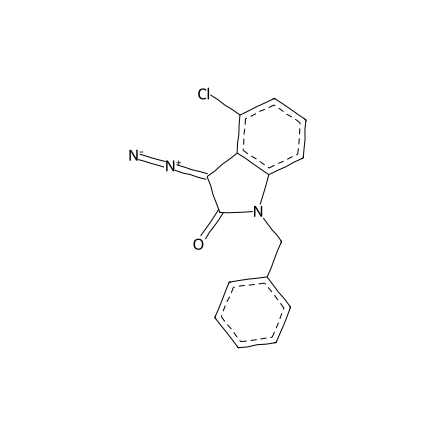 [N-]=[N+]=C1C(=O)N(Cc2ccccc2)c2cccc(Cl)c21